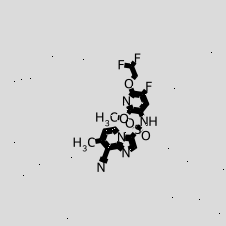 COc1nc(OCC(F)F)c(F)cc1NS(=O)(=O)c1cnc2c(C#N)c(C)ccn12